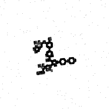 COCC(C)(C)COc1nn(C2CCC(N3CCOCC3)CC2)cc1Nc1ncc(-c2ccc(Cl)c(O[C@@H](C)Cn3cnnn3)c2)cn1